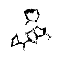 CC1C=CC=CC1[C@@H]1C[C@H](F)c2nc(C(=O)C3CCC3)nn21